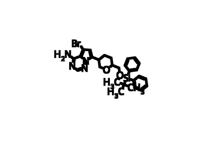 CC(C)(C)[Si](OCC1CCC(c2cc(Br)c3c(N)ncnn23)CO1)(c1ccccc1)c1ccccc1